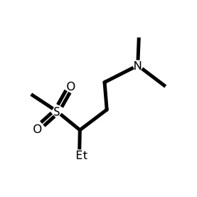 CCC(CCN(C)C)S(C)(=O)=O